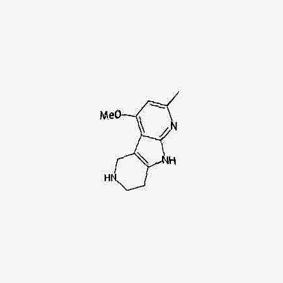 COc1cc(C)nc2[nH]c3c(c12)CNCC3